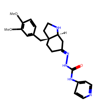 COc1ccc(C[C@@]23CCN[C@H]2CC(=NNC(=O)Nc2ccncc2)CC3)cc1OC